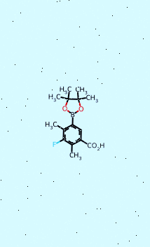 Cc1c(B2OC(C)(C)C(C)(C)O2)cc(C(=O)O)c(C)c1F